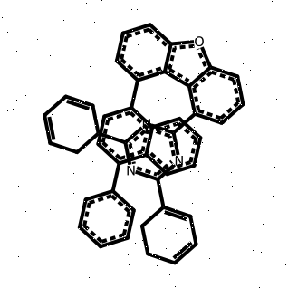 C1=CCCC(c2nc(-c3cccc4oc5cccc(-c6ccc(-c7ccccc7)c7ccccc67)c5c34)nc(C3C=CC=CC3)n2)=C1